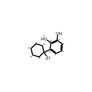 CCC1(c2cccc(O)c2O)CCCCC1